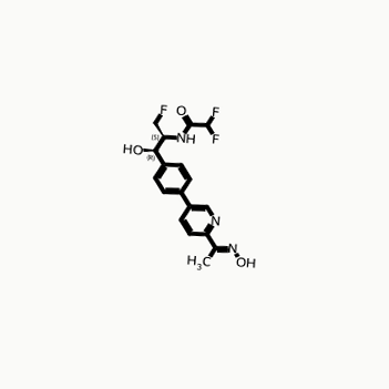 CC(=NO)c1ccc(-c2ccc([C@@H](O)[C@@H](CF)NC(=O)C(F)F)cc2)cn1